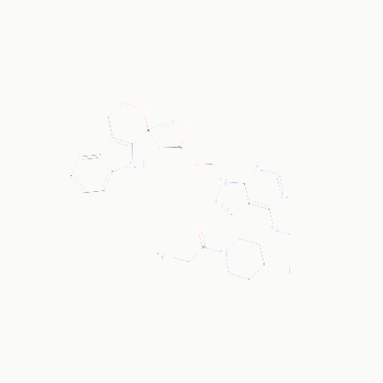 CCc1cccc2c3c([nH]c12)C(CC)(CC(=O)OCn1ccc2c(N(C)[C@H]4CN(C(=O)CC#N)CC[C@H]4C)ncnc21)OCC3